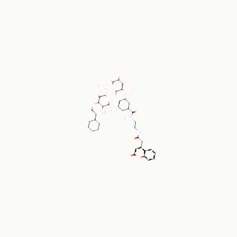 CCC1CC(C(=O)NCCNC(=O)Cc2cc(=O)oc3cc(O)ccc23)C[C@@H](O[C@@H]2O[C@@H](CO)[C@H](O)C(O[C@@H](CC3CCCCC3)C(=O)O)C2NC(C)=O)[C@@H]1OC1O[C@@H](C)C(O)[C@H](O)[C@@H]1O